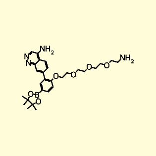 CC1(C)OB(c2ccc(OCCOCCOCCOCCN)c(-c3ccc4c(N)cnnc4c3)c2)OC1(C)C